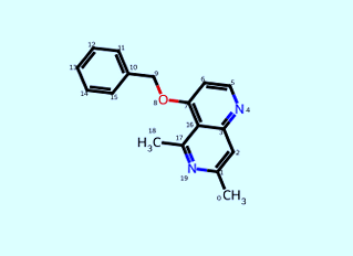 Cc1cc2nccc(OCc3ccccc3)c2c(C)n1